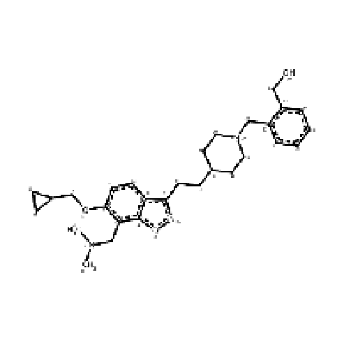 CN(C)Cc1c(OCC2CC2)ccc2c(CCC3CCN(Cc4ccccc4CO)CC3)noc12